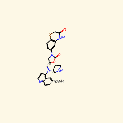 COc1ccc2nccc(N(C[C@@H]3CN(c4ccc5c(c4)NC(=O)CS5)C(=O)O3)[C@H]3CCNC3)c2c1